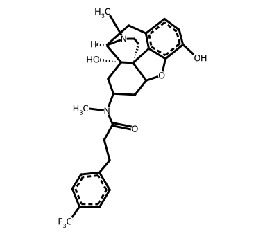 CN(C(=O)CCc1ccc(C(F)(F)F)cc1)C1CC2Oc3c(O)ccc4c3[C@@]23CCN(C)[C@H](C4)[C@]3(O)C1